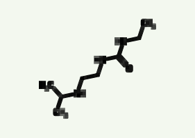 CCNC(=O)NCCNC(C)C